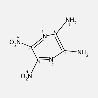 Nc1nc([N+](=O)[O-])c([N+](=O)[O-])nc1N